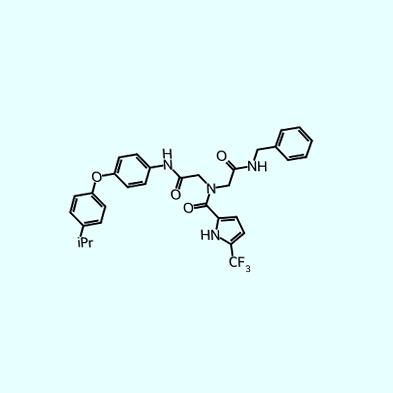 CC(C)c1ccc(Oc2ccc(NC(=O)CN(CC(=O)NCc3ccccc3)C(=O)c3ccc(C(F)(F)F)[nH]3)cc2)cc1